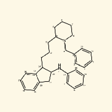 c1ccc(CN2CCCCC2CCCC2c3ccccc3CC2Nc2ccccc2)cc1